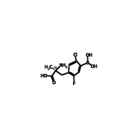 C[C@](N)(Cc1cc(Cl)c(B(O)O)cc1F)C(=O)O